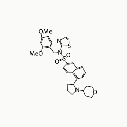 COc1ccc(CN(c2nccs2)S(=O)(=O)c2ccc3c(C4CCCN4C4CCOCC4)cccc3c2)c(OC)c1